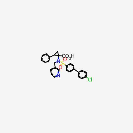 O=C(O)C1(N(Cc2cccnc2)S(=O)(=O)c2ccc(-c3ccc(Cl)cc3)cc2)CC1c1ccccc1